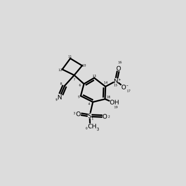 CS(=O)(=O)c1cc(C2(C#N)CCC2)cc([N+](=O)[O-])c1O